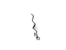 CCC/C=C/CN=O